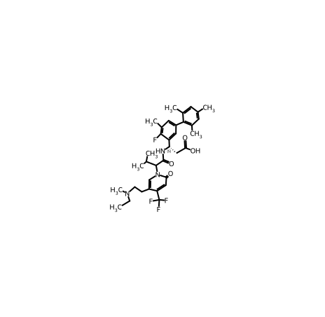 CCN(C)CCc1cn(C(C(=O)N[C@@H](CC(=O)O)c2cc(-c3c(C)cc(C)cc3C)cc(C)c2F)C(C)C)c(=O)cc1C(F)(F)F